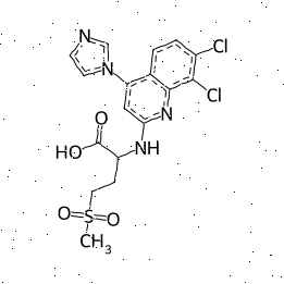 CS(=O)(=O)CCC(Nc1cc(-n2ccnc2)c2ccc(Cl)c(Cl)c2n1)C(=O)O